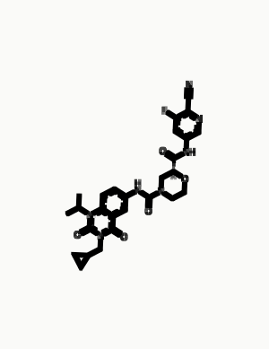 CC(C)n1c(=O)n(CC2CC2)c(=O)c2cc(NC(=O)N3CCO[C@@H](C(=O)Nc4cnc(C#N)c(F)c4)C3)ccc21